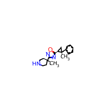 CC1(c2noc([C@H]3C[C@]3(C)c3ccccc3)n2)CCNCC1